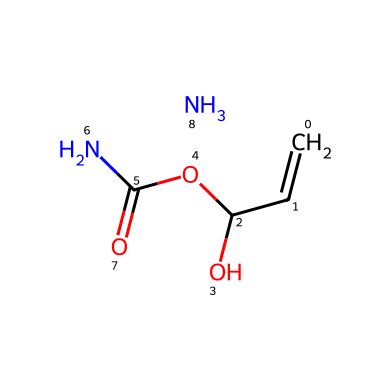 C=CC(O)OC(N)=O.N